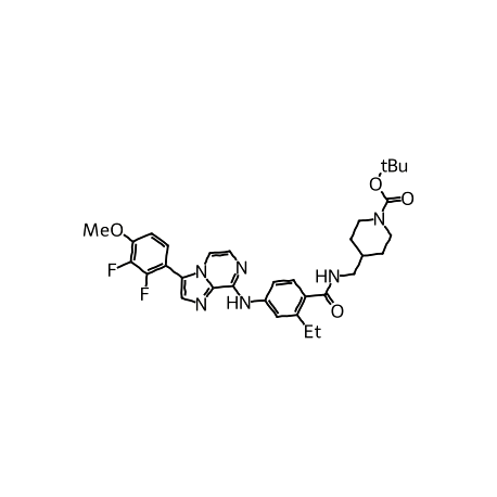 CCc1cc(Nc2nccn3c(-c4ccc(OC)c(F)c4F)cnc23)ccc1C(=O)NCC1CCN(C(=O)OC(C)(C)C)CC1